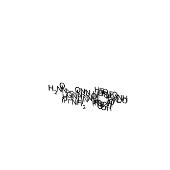 CC(C)C(N)C(=O)NC(CCCNC(N)=O)C(=O)Nc1ncnc2c1ncn2[C@@H]1O[C@@H]2COP(=O)(S)O[C@H]3[C@@H](F)[C@H](n4ccc(=O)[nH]c4=O)O[C@@H]3COP(=O)(O)O[C@H]2[C@H]1F